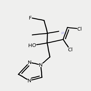 CC(C)(CF)C(O)(Cn1cncn1)/C(Cl)=C/Cl